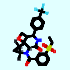 CCS(=O)(=O)c1cccc(C(=O)N2[C@@H](C(=O)NC(c3ccc(C(F)(F)F)cc3)C3COC3)C[C@H]3C[C@H]32)c1